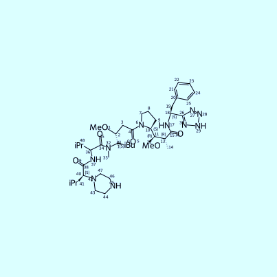 CC[C@H](C)[C@@H](C(CC(=O)N1CCC[C@H]1[C@H](OC)[C@@H](C)C(=O)N[C@@H](Cc1ccccc1)c1nn[nH]n1)OC)N(C)C(=O)C(NC(=O)[C@H](C(C)C)N1CCNCC1)C(C)C